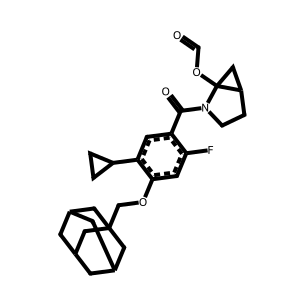 O=COC12CC1CCN2C(=O)c1cc(C2CC2)c(OCC23CC4CC(CC(C4)C2)C3)cc1F